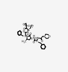 CC(C)C[C@@H](NC(=O)[C@@H](Cc1ccccc1)N1C(=O)[C@H](NC(=O)[C@@H](CCc2ccccc2)NC(=O)CN2CCOCC2)CC1C)C(=O)[C@]1(C)CO1